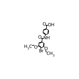 CCOc1cc(C(=O)Nc2ccc(C(=O)O)cc2)cc(OCC)c1Br